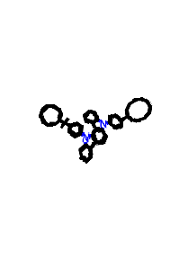 CC(C)(c1ccccccccc1)c1ccc(-n2c3ccccc3c3ccc4c(c5ccccc5n4-c4ccc(C5CCCCCCCCCC5)cc4)c32)cc1